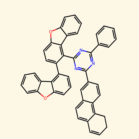 C1=Cc2ccc3cc(-c4nc(-c5ccccc5)nc(-c5c(-c6cccc7oc8ccccc8c67)ccc6oc7ccccc7c56)n4)ccc3c2CC1